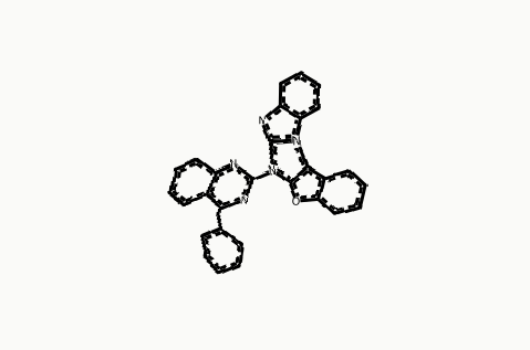 c1ccc(-c2nc(-n3c4oc5ccccc5c4n4c5ccccc5nc34)nc3ccccc23)cc1